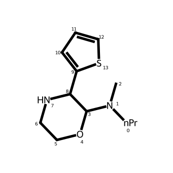 CCCN(C)C1OCCNC1c1cccs1